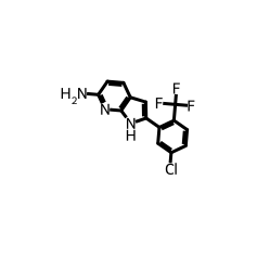 Nc1ccc2cc(-c3cc(Cl)ccc3C(F)(F)F)[nH]c2n1